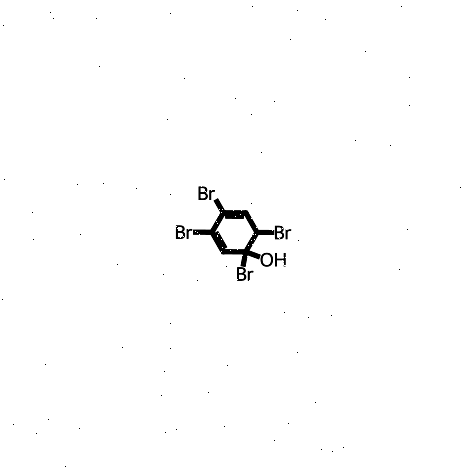 OC1(Br)C=C(Br)C(Br)=CC1Br